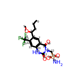 CCCC(OC)c1cc2c(=O)n(CS(N)(=O)=O)c(=O)[nH]c2cc1C(F)(F)F